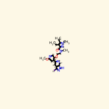 C=Cc1c(C(=O)N(C)CCOc2cnc(OC)cc2-c2cc3c(I)n[nH]c3cn2)nn(C)c1CC